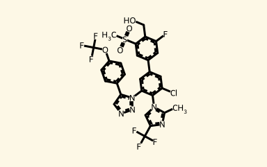 Cc1nc(C(F)(F)F)cn1-c1c(Cl)cc(-c2cc(F)c(CO)c(S(C)(=O)=O)c2)cc1-n1nncc1-c1ccc(OC(F)(F)F)cc1